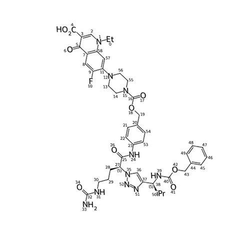 CCn1cc(C(=O)O)c(=O)c2cc(F)c(N3CCN(C(=O)OCc4ccc(NC(=O)[C@H](CCCNC(N)=O)n5cc([C@@H](NC(=O)OCc6ccccc6)C(C)C)nn5)cc4)CC3)cc21